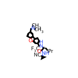 CC(C)C[C@H](NC(c1ccc2c(c1)oc1ccc(CN(C)C)cc12)C(F)(F)F)C(=O)NC1(C#N)CC1